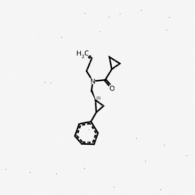 C=CCN(C[C@H]1CC1c1ccccc1)C(=O)C1CC1